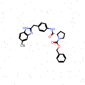 N#Cc1ccc2[nH]c(Cc3ccc(NC(=O)[C@@H]4CCCN4C(=O)OCc4ccccc4)cc3)nc2c1